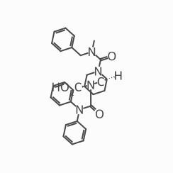 CN(Cc1ccccc1)C(=O)N1C[C@@]2(C(=O)O)CC[C@H]1CN2C(=O)N(c1ccccc1)c1ccccc1